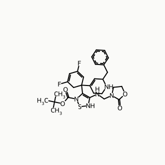 CC(C)(C)OC(=O)N1SNC(NCN2CCOC2=O)=C1C1(C2=CC(Cc3ccccc3)NCC2)C=C(F)C=C(F)C1